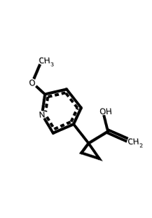 C=C(O)C1(c2ccc(OC)nc2)CC1